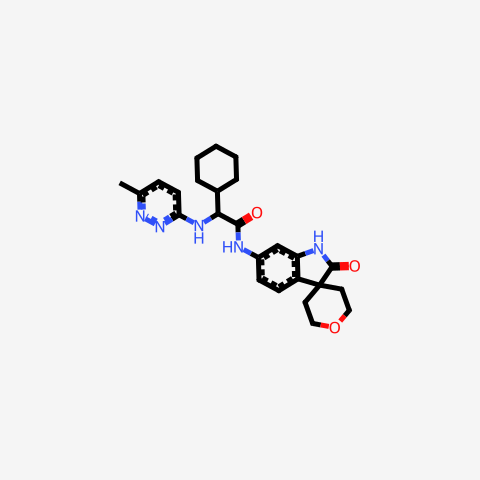 Cc1ccc(NC(C(=O)Nc2ccc3c(c2)NC(=O)C32CCOCC2)C2CCCCC2)nn1